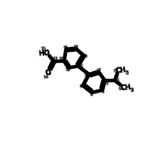 CC(C)c1cccc(-c2cccc(C(=O)O)c2)c1